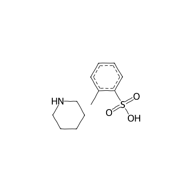 C1CCNCC1.Cc1ccccc1S(=O)(=O)O